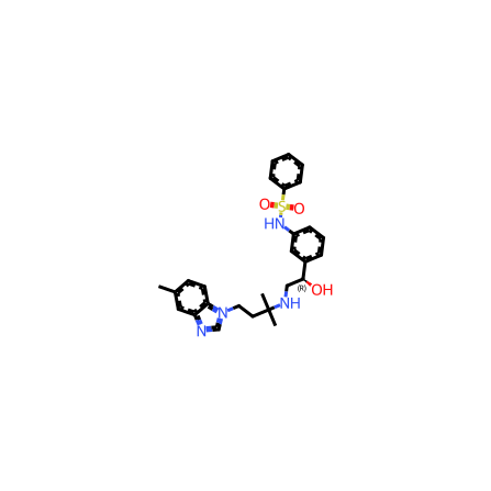 Cc1ccc2c(c1)ncn2CCC(C)(C)NC[C@H](O)c1cccc(NS(=O)(=O)c2ccccc2)c1